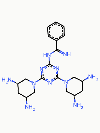 N=C(Nc1nc(N2C[C@H](N)C[C@H](N)C2)nc(N2C[C@H](N)C[C@H](N)C2)n1)c1ccccc1